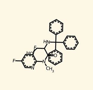 CN(C(=O)C(CO)NC(c1ccccc1)(c1ccccc1)c1ccccc1)c1ncc(F)cc1F